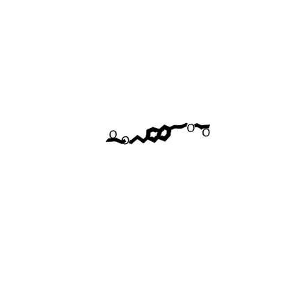 c1cc2cc(CCCOCC3CO3)ccc2cc1CCCOCC1CO1